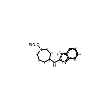 CCOC(=O)N1CCCC(Nc2nc3ccccc3[nH]2)CC1